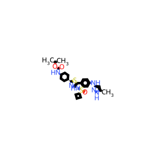 Cc1cc(Nc2ccc(-c3cnc([C@H]4CC[C@H](NC(=O)OC(C)C)CC4)s3)c(S(=N)(=O)C3CCC3)c2)n[nH]1